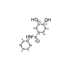 O=C(Nc1ccccc1)c1ccc(O)c(O)c1